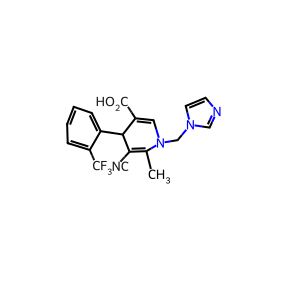 CC1=C(C#N)C(c2ccccc2C(F)(F)F)C(C(=O)O)=CN1Cn1ccnc1